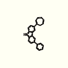 C1=CC=C(c2ccc3[nH]c4ccc(-c5ccccc5)cc4c3c2)CC=C1